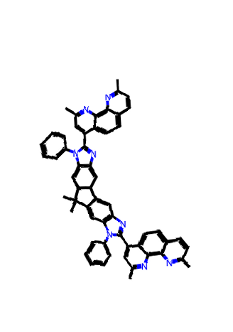 Cc1ccc2ccc3c(-c4nc5c(n4-c4ccccc4)=CC4C(C=5)c5cc6nc(-c7cc(C)nc8c7ccc7ccc(C)nc78)n(-c7ccccc7)c6cc5C4(C)C)cc(C)nc3c2n1